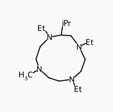 CCN1CCN(C)CCN(CC)C(C(C)C)CN(CC)CC1